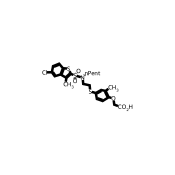 CCCCCN(CCSc1ccc(OCC(=O)O)c(C)c1)S(=O)(=O)c1sc2ccc(Cl)cc2c1C